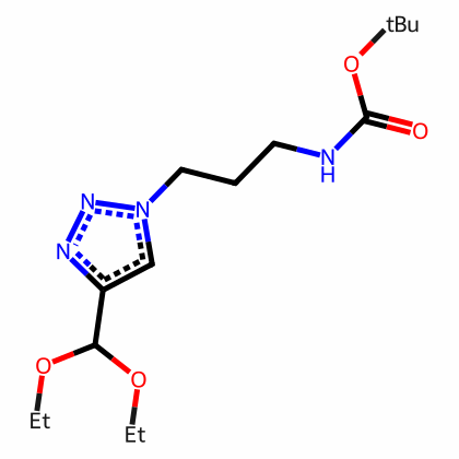 CCOC(OCC)c1cn(CCCNC(=O)OC(C)(C)C)nn1